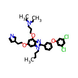 CCCCn1c(-c2cccc(Oc3cc(Cl)cc(Cl)c3)c2)nc2c(OCCCN(CC)CC)cc(OCCC3C=CN=C3)cc21